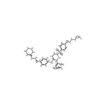 CCCCOc1ccc(S(=O)(=O)C2CCN(Cc3ccc(OCCN4CCCCC4)cc3)C(C(=O)O)C2)cc1.NO